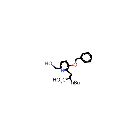 CCCCC(=Cc1nc(CO)ccc1OCc1ccccc1)C(=O)O